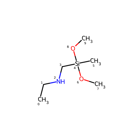 CCNC[Si](C)(OC)OC